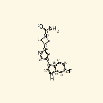 NC(=O)N1CC(n2cc(-c3c[nH]c4cc(F)ccc34)cn2)C1